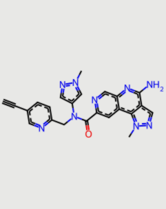 C#Cc1ccc(CN(C(=O)c2cc3c(cn2)nc(N)c2cnn(C)c23)c2cnn(C)c2)nc1